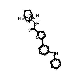 O=C(N[C@@H]1C[C@H]2CC[C@@H]1N2)c1ccc(-c2cccc(Nc3ccccc3)c2)o1